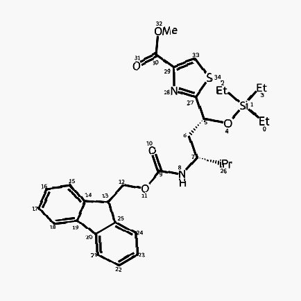 CC[Si](CC)(CC)O[C@H](C[C@@H](NC(=O)OCC1c2ccccc2-c2ccccc21)C(C)C)c1nc(C(=O)OC)cs1